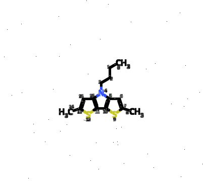 CCCCn1c2cc(C)sc2c2sc(C)cc21